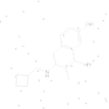 CCCC1c2cc(O)ccc2CC(NCC2CCC2)C1C